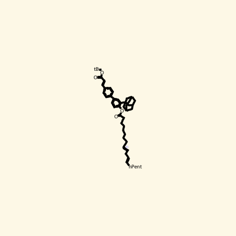 CCCCCC=CC/C=C/CCCCCCCC(=O)Oc1ccc(-c2ccc(C=CC(=O)OC(C)(C)C)cc2)cc1C12CC3CC(CC(C3)C1)C2